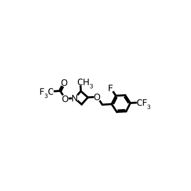 CC1C(OCc2ccc(C(F)(F)F)cc2F)CN1OC(=O)C(F)(F)F